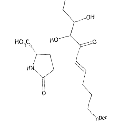 CCCCCCCCCCCCCC=CC(=O)C(O)C(O)CO.O=C1CC[C@@H](C(=O)O)N1